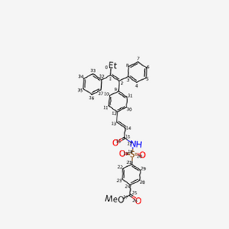 CC/C(=C(\c1ccccc1)c1ccc(/C=C/C(=O)NS(=O)(=O)c2ccc(C(=O)OC)cc2)cc1)c1ccccc1